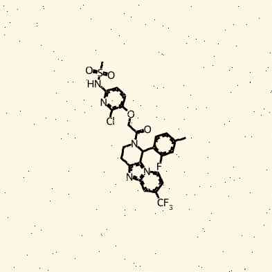 Cc1ccc(C2c3c(nc4cc(C(F)(F)F)ccn34)CCN2C(=O)COc2ccc(NS(C)(=O)=O)nc2Cl)c(F)c1